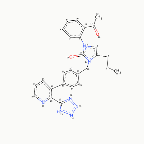 CCCc1cn(-c2ccccc2C(C)=O)c(=O)n1Cc1ccc(-c2cccnc2-c2nnn[nH]2)cc1